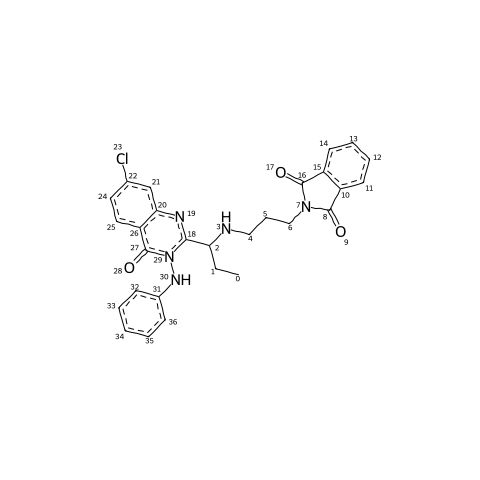 CCC(NCCCN1C(=O)c2ccccc2C1=O)c1nc2cc(Cl)ccc2c(=O)n1Nc1ccccc1